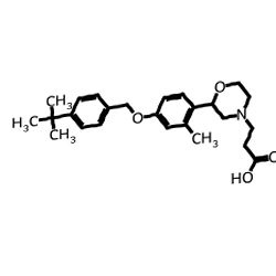 Cc1cc(OCc2ccc(C(C)(C)C)cc2)ccc1C1CN(CCC(=O)O)CCO1